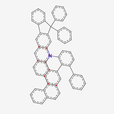 c1ccc(-c2ccccc2-c2c(-c3ccccc3)cccc2N(c2cccc(-c3cccc4ccccc34)c2)c2ccc3c(c2)C(c2ccccc2)(c2ccccc2)c2ccccc2-3)cc1